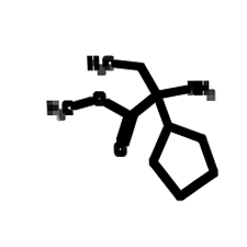 CCC(N)(C(=O)OC)C1CCCC1